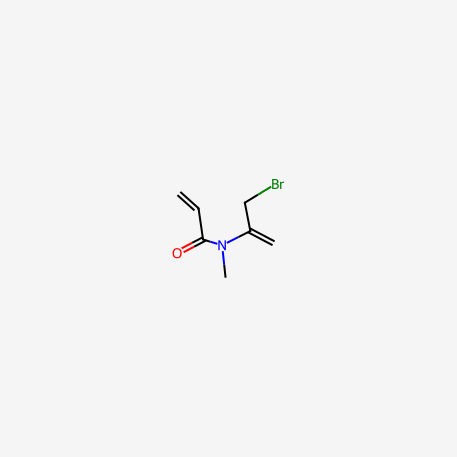 C=CC(=O)N(C)C(=C)CBr